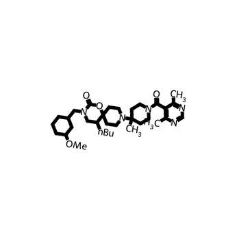 CCCCC1CN(CC2CCCC(OC)C2)C(=O)OC12CCN(C1(C)CCN(C(=O)c3c(C)ncnc3C)CC1)CC2